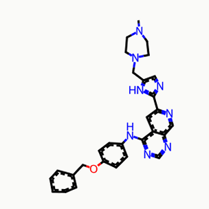 CN1CCN(Cc2cnc(-c3cc4c(Nc5ccc(OCc6ccccc6)cc5)ncnc4cn3)[nH]2)CC1